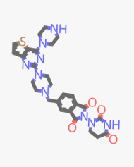 O=C1CCN(N2C(=O)c3ccc(CN4CCN(c5nc(N6CCNCC6)c6sccc6n5)CC4)cc3C2=O)C(=O)N1